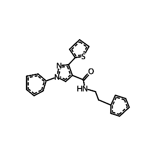 O=C(NCCc1ccccc1)c1cn(-c2ccccc2)nc1-c1cccs1